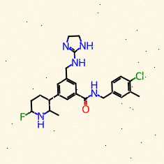 Cc1cc(CNC(=O)c2cc(CNC3=NCCN3)cc(C3CCC(F)NC3C)c2)ccc1Cl